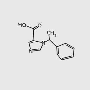 CC(c1ccccc1)n1cncc1C(=O)O